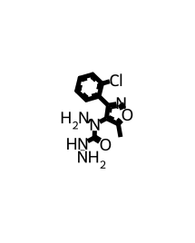 Cc1onc(-c2ccccc2Cl)c1N(N)C(=O)NN